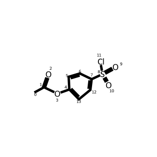 CC(=O)Oc1ccc(S(=O)(=O)Cl)cc1